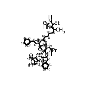 CCC1NC(=O)NC1C(C)CCCCC(=O)N[C@@H](CCc1ccccc1)C(=O)N[C@@H](CC(C)C)C(=O)N[C@@H](Cc1ccccc1)C(=O)N[C@@H](CC(C)C)C(=O)[C@@]1(C)CO1